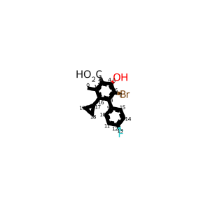 Cc1c(C(=O)O)c(O)c(Br)c(-c2ccc(F)cc2)c1C1CC1